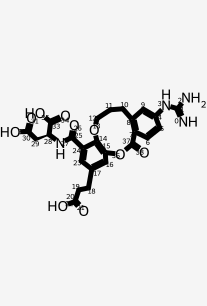 N=C(N)Nc1ccc2c(c1)CCCOc1c(cc(CCC(=O)O)cc1C(=O)N[C@@H](CC(=O)O)C(=O)O)OC2=O